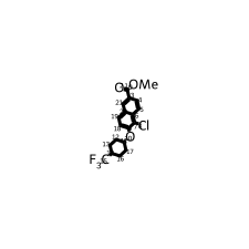 COC(=O)c1ccc2c(Cl)c(OC3CCC(C(F)(F)F)CC3)ccc2c1